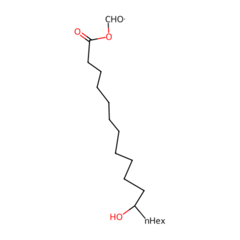 CCCCCCC(O)CCCCCCCCCCC(=O)O[C]=O